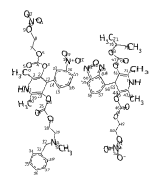 CC1=C(OC(=O)OCCO[N+](=O)[O-])C(c2cccc([N+](=O)[O-])c2)C(OC(=O)OCCN(C)Cc2ccccc2)=C(C)N1.CC1=C(OC(=O)OCCO[N+](=O)[O-])C(c2cccc3nonc23)C(OC(=O)OC(C)C)=C(C)N1